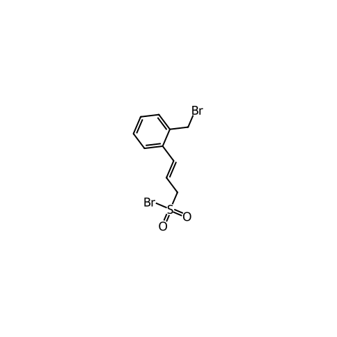 O=S(=O)(Br)CC=Cc1ccccc1CBr